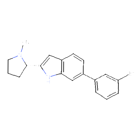 CCc1cccc(-c2ccc3cc([C@@H]4CCCN4C#N)[nH]c3c2)c1